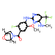 CNc1nc(Nc2cc(F)c(C(=O)N3C[C@@H]4C[C@H]3CO4)cc2OC)ncc1C(F)(F)F